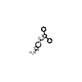 Nc1nc2c(s1)CCN(C(=O)Cn1nc(-c3ccccc3)cc1-c1ccccc1)CC2